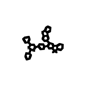 CC1(C)c2ccccc2-c2cc(-c3ccc4sc5ccccc5c4c3)c(-c3ccc(-c4cc(-c5ccccc5)nc(-c5ccccc5)n4)cc3)cc21